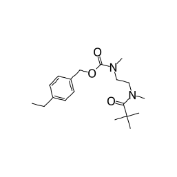 CCc1ccc(COC(=O)N(C)CCN(C)C(=O)C(C)(C)C)cc1